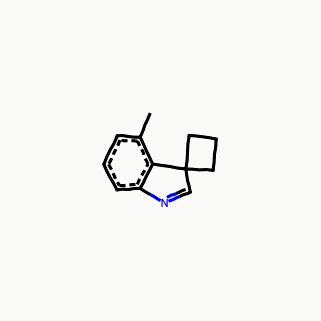 Cc1cccc2c1C1(C=N2)CCC1